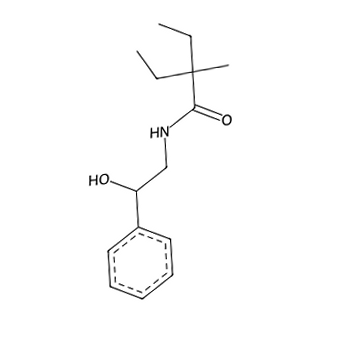 CCC(C)(CC)C(=O)NCC(O)c1ccccc1